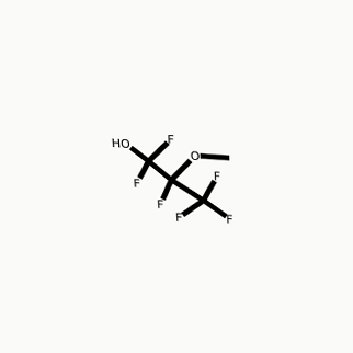 COC(F)(C(O)(F)F)C(F)(F)F